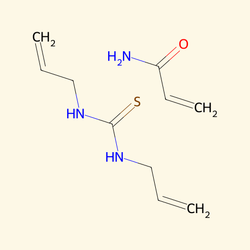 C=CC(N)=O.C=CCNC(=S)NCC=C